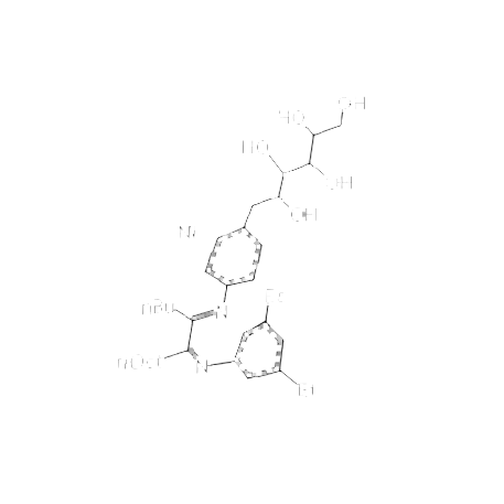 CCCCCCCCC(=Nc1cc(CC)cc(CC)c1)C(CCCC)=Nc1ccc(CC(O)C(O)C(O)C(O)CO)cc1.[Ni]